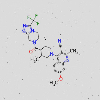 COc1ccc2c(N3CC[C@H](C(=O)N4CCn5c(nnc5C(F)(F)F)C4)[C@H](C)C3)c(C#N)c(C)nc2c1